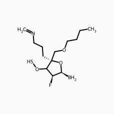 B[C@@H]1O[C@](CCCN=C)(COCCCC)C(OS)[C@@H]1F